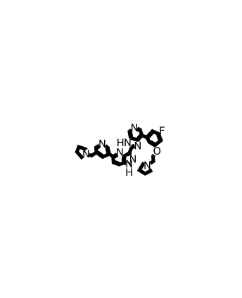 Fc1cc(OCCN2CCCC2)cc(-c2cncc3[nH]c(-c4n[nH]c5ccc(-c6cncc(CN7CCCC7)c6)nc45)nc23)c1